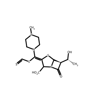 C[C@@H](O)[C@H]1C(=O)N2C(C(=O)O)C(=C(SC=S)N3CCN(C)CC3)SC12